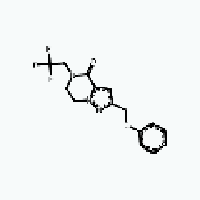 O=C1c2cc(COc3ccccc3)nn2CCN1CC(F)(F)F